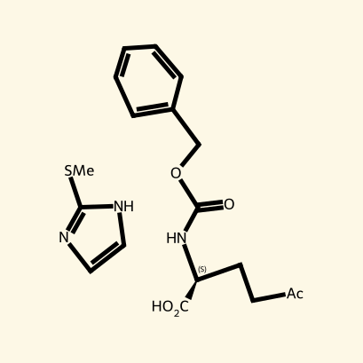 CC(=O)CC[C@H](NC(=O)OCc1ccccc1)C(=O)O.CSc1ncc[nH]1